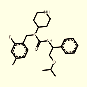 CC(C)OCC(NC(=O)N(Cc1ccc(F)cc1F)C1CCNCC1)c1ccccc1